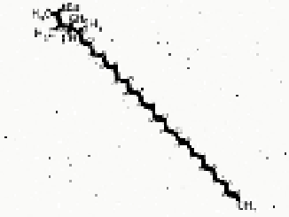 CC=CCCC=CCCC=CCCC=CC=CC=CCCC=CCCC=CC(C)C(C)(C)C(C)=C(C)C(C)(C)C